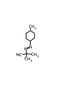 CC1CCC(N=NC(C)(C)C#N)CC1